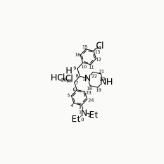 CCN(CC)c1ccc(CC(Cc2ccc(Cl)cc2)N2CCNCC2)cc1.Cl.Cl